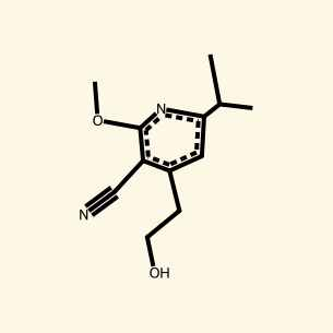 COc1nc(C(C)C)cc(CCO)c1C#N